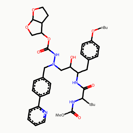 CCCCOc1ccc(CC(NC(=O)C(NC(=O)OC)C(C)(C)C)C(O)CN(Cc2ccc(-c3ccccn3)cc2)NC(=O)OC2COC3OCCC23)cc1